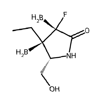 B[C@]1(CC)[C@@H](CO)NC(=O)[C@@]1(B)F